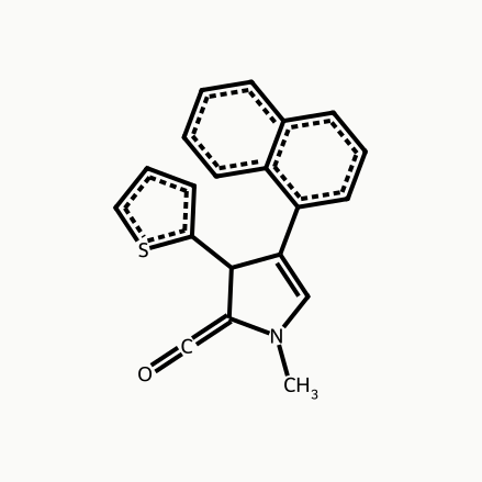 CN1C=C(c2cccc3ccccc23)C(c2cccs2)C1=C=O